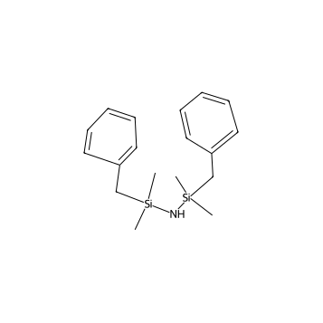 C[Si](C)(Cc1ccccc1)N[Si](C)(C)Cc1ccccc1